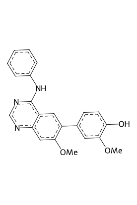 COc1cc(-c2cc3c(Nc4ccccc4)ncnc3cc2OC)ccc1O